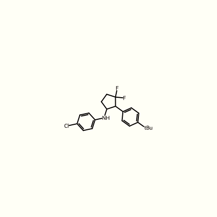 CC(C)(C)c1ccc(C2C(Nc3ccc(Cl)cc3)CCC2(F)F)cc1